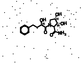 NC(=O)C1[C@@H](O)[C@@H](O)CN1C(=O)[C@H](O)[CH]Cc1ccccc1